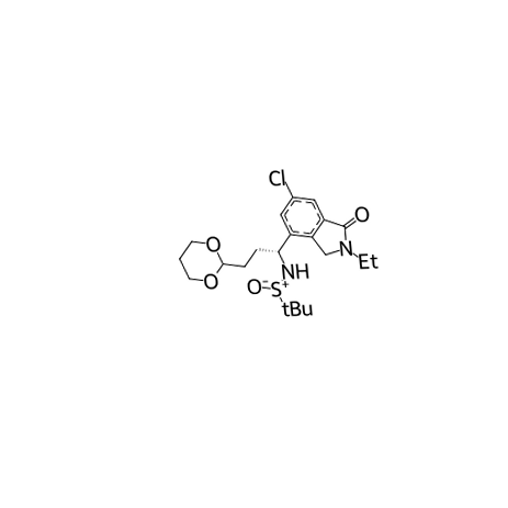 CCN1Cc2c(cc(Cl)cc2[C@@H](CCC2OCCCO2)N[S+]([O-])C(C)(C)C)C1=O